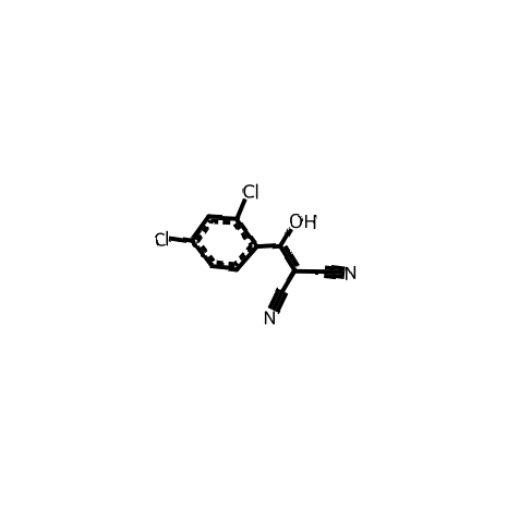 N#CC(C#N)=C(O)c1ccc(Cl)cc1Cl